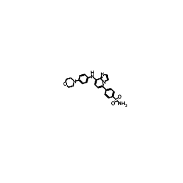 NS(=O)(=O)c1ccc(-c2ccc(Nc3ccc(N4CCOCC4)cc3)c3nccn23)cc1